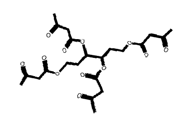 CC(=O)CC(=O)OCCC(OC(=O)CC(C)=O)C(CCOC(=O)CC(C)=O)OC(=O)CC(C)=O